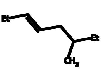 [CH2]CC=CCC(C)CC